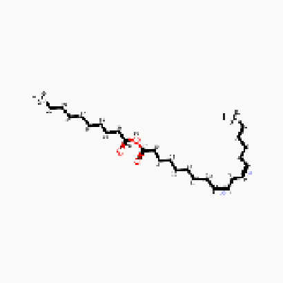 CCCCC/C=C\C/C=C\CCCCCCCC(=O)OC(=O)CCCCCCCCC